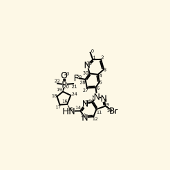 Cc1ccc2cc(-n3nc(Br)c4cnc(N[C@@H]5CC[C@@H](P(C)(C)=O)C5)nc43)cc(F)c2n1